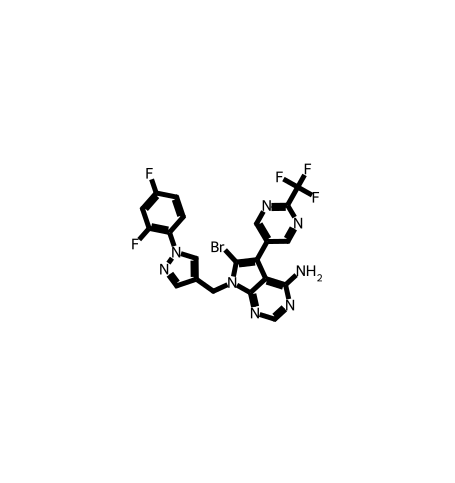 Nc1ncnc2c1c(-c1cnc(C(F)(F)F)nc1)c(Br)n2Cc1cnn(-c2ccc(F)cc2F)c1